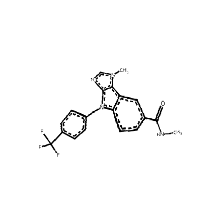 CNC(=O)c1ccc2c(c1)c1c(ncn1C)n2-c1ccc(C(F)(F)F)cc1